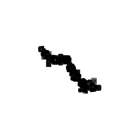 Cn1nc(N2CCC(=O)NC2=O)c2ccc(C3CCN(CC4(C#N)CCN(c5cccc(S(=O)(=O)N6CCC(Nc7ncc(Cl)cn7)CC6)c5)CC4)CC3)cc21